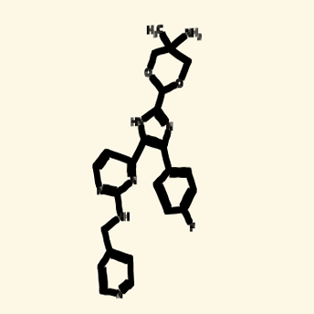 CC1(N)COC(c2nc(-c3ccc(F)cc3)c(-c3ccnc(NCc4ccncc4)n3)[nH]2)OC1